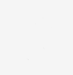 CC1OC(c2ccncc2[N+](=O)[O-])=CC(O)C1(C)O